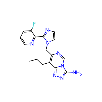 CCCc1c(Cn2ccnc2-c2ncccc2F)ncn2c(N)nnc12